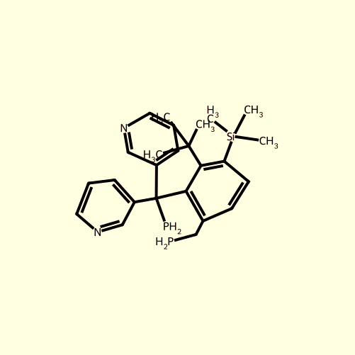 CC(C)(C)c1c([Si](C)(C)C)ccc(CP)c1C(P)(c1cccnc1)c1cccnc1